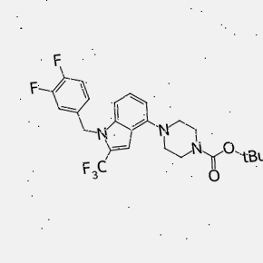 CC(C)(C)OC(=O)N1CCN(c2cccc3c2cc(C(F)(F)F)n3Cc2ccc(F)c(F)c2)CC1